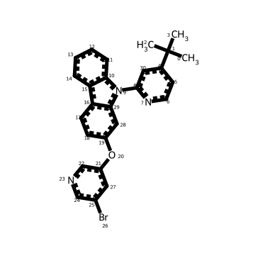 CC(C)(C)c1ccnc(-n2c3ccccc3c3ccc(Oc4cncc(Br)c4)cc32)c1